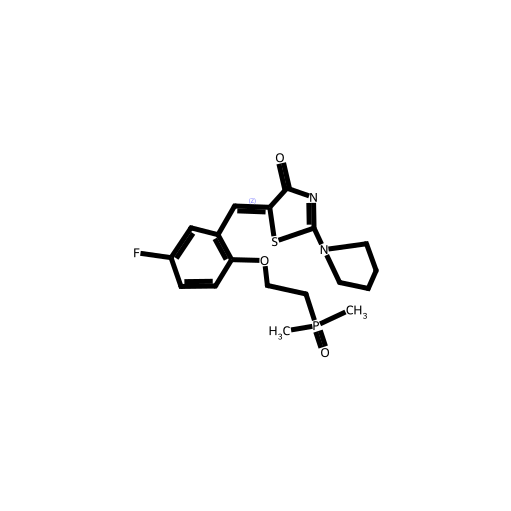 CP(C)(=O)CCOc1ccc(F)cc1/C=C1\SC(N2CCCC2)=NC1=O